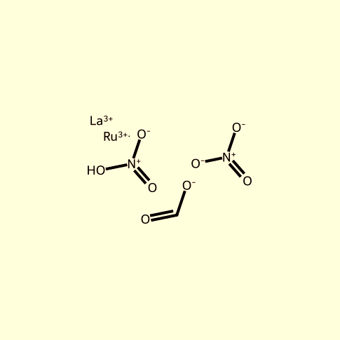 O=C[O-].O=[N+]([O-])O.O=[N+]([O-])[O-].[La+3].[Ru+3]